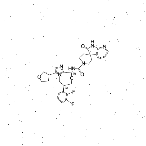 O=C(N[C@@H]1CC[C@@H](c2cccc(F)c2F)Cn2c(C3CCOC3)cnc21)N1CCC2(CC1)C(=O)Nc1ncccc12